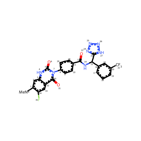 CNc1cc2[nH]c(=O)n(-c3ccc(C(=O)NC(c4cccc(C(F)(F)F)c4)c4nnn[nH]4)cc3)c(=O)c2cc1F